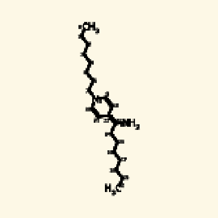 CCCCCCCCN1C=CC(=C(N)CCCCCCC)C=C1